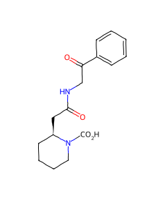 O=C(C[C@@H]1CCCCN1C(=O)O)NCC(=O)c1ccccc1